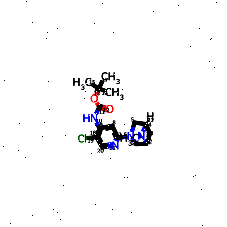 CN1C2C[C@@H]1CN(c1cc(NC(=O)OC(C)(C)C)c(Cl)cn1)C2